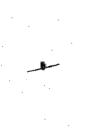 CCCCCCCCCCCCCCCCOCCCCCCCCCCCCCCCC.O=P([O-])([O-])[O-].[K+].[K+].[K+]